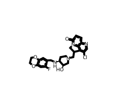 O=c1ccc2ncc(Cl)c3c2n1CC3CN1CC[C@H](NCc2cc3c(cc2F)OCCO3)[C@H](O)C1